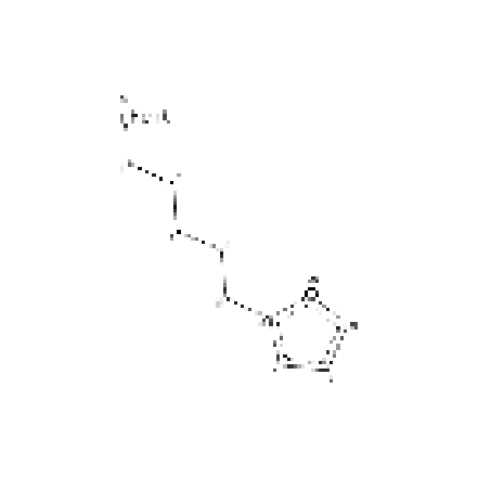 CCCCCCCCCCc1ccco1